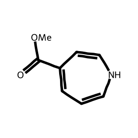 COC(=O)C1=CC=CNC=C1